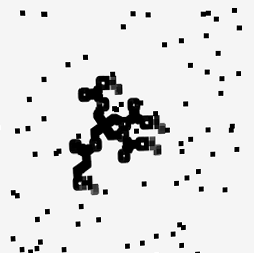 CCCC(=O)OCC(COC(C)=O)(COC(C)=O)COC(C)=O